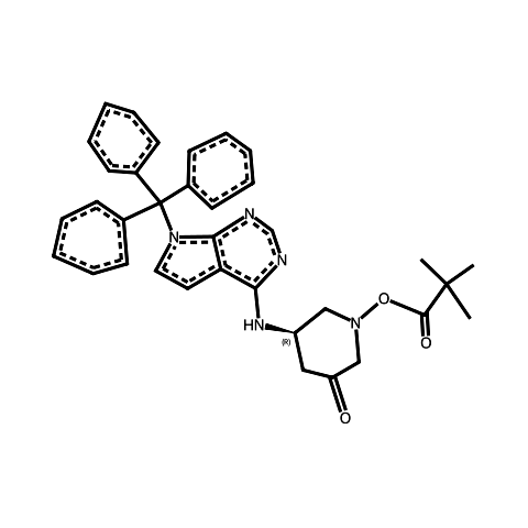 CC(C)(C)C(=O)ON1CC(=O)C[C@@H](Nc2ncnc3c2ccn3C(c2ccccc2)(c2ccccc2)c2ccccc2)C1